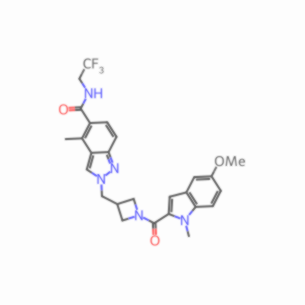 COc1ccc2c(c1)cc(C(=O)N1CC(Cn3cc4c(C)c(C(=O)NCC(F)(F)F)ccc4n3)C1)n2C